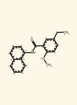 CCc1ccc(OC)c(C(=O)Nc2cccc3ccccc23)c1